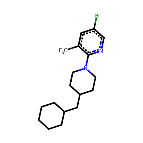 FC(F)(F)c1cc(Br)cnc1N1CCC(CC2CCCCC2)CC1